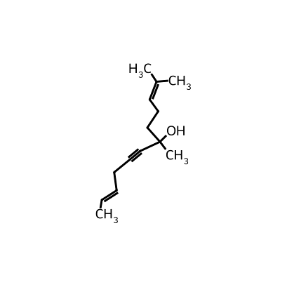 CC=CCC#CC(C)(O)CCC=C(C)C